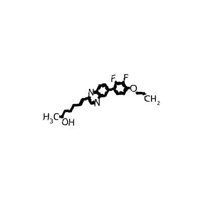 C=CCOc1ccc(-c2ccc3nc(/C=C/CCCC(C)O)cnc3c2)c(F)c1F